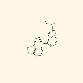 CCC(C)C1=Cc2c(cccc2-c2ccc3c4c(cccc24)CC3)[CH]1